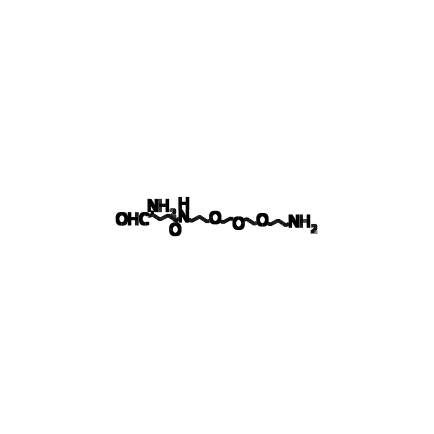 NCCCOCCOCCOCCCNC(=O)CCC(N)C=O